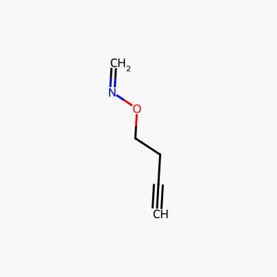 C#CCCON=C